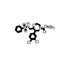 CC(C)(C)OC(=O)N1CCOC(CNS(=O)(=O)c2ccccc2)C(c2ccc(Cl)c(Cl)c2)C1